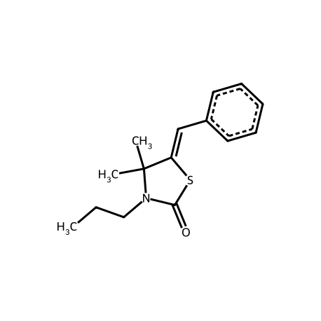 CCCN1C(=O)S/C(=C\c2ccccc2)C1(C)C